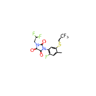 Cc1cc(F)c(N2C(=O)C(=O)N(CC(F)F)C2=O)cc1SCC(F)(F)F